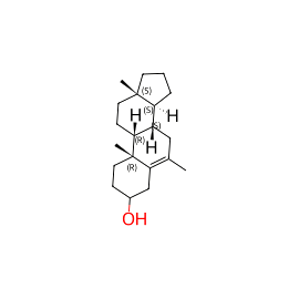 CC1=C2CC(O)CC[C@]2(C)[C@@H]2CC[C@]3(C)CCC[C@H]3[C@@H]2C1